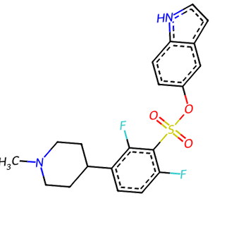 CN1CCC(c2ccc(F)c(S(=O)(=O)Oc3ccc4[nH]ccc4c3)c2F)CC1